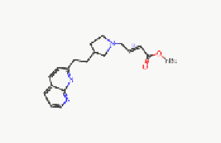 CCCCOC(=O)/C=C/CN1CCC(CCc2ccc3cccnc3n2)C1